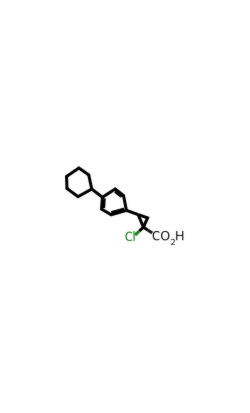 O=C(O)C1(Cl)CC1c1ccc(C2CCCCC2)cc1